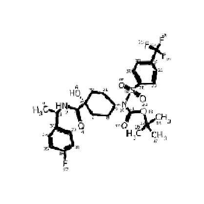 C[C@@H](NC(=O)[C@]1(O)CC[C@@H](N(C(=O)OC(C)(C)C)S(=O)(=O)c2ccc(C(F)(F)F)cc2)CC1)c1ccc(F)cc1